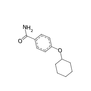 NC(=O)c1ccc(OC2CCCCC2)cc1